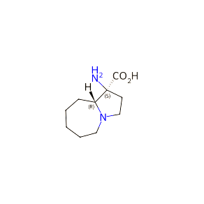 N[C@@]1(C(=O)O)CCN2CCCCC[C@@H]21